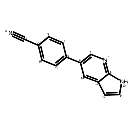 N#Cc1ccc(-c2cnc3[nH]ccc3c2)cc1